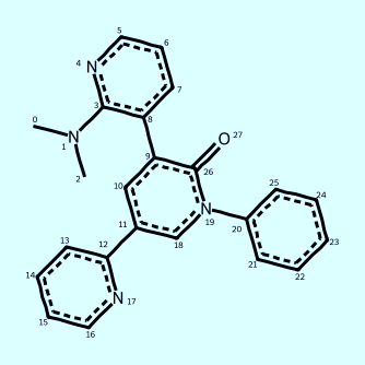 CN(C)c1ncccc1-c1cc(-c2ccccn2)cn(-c2ccccc2)c1=O